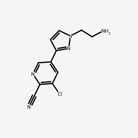 N#Cc1ncc(-c2ccn(CCN)n2)cc1Cl